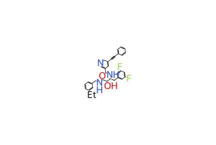 CCc1cccc(CNC[C@@H](O)[C@H](Cc2cc(F)cc(F)c2)NC(=O)c2cncc(C#Cc3ccccc3)c2)c1